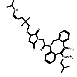 CC(C)CN(N)/C1=C(\N)c2ccccc2CN(C(=O)CN2C(=O)CC(SCC(C)(C)C/N=C\NC(C)C)C2=O)c2ccccc21